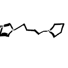 [c]1cn(CCCCN2CCCC2)cn1